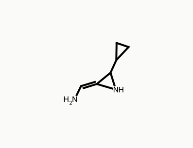 N/C=C1\NC1C1CC1